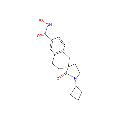 O=C(NO)c1ccc2c(c1)CC[C@@]1(CCN(C3CCC3)C1=O)C2